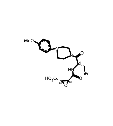 COc1ccc(N2CCN(C(=O)[C@H](CC(C)C)NC(=O)[C@H]3O[C@@H]3C(=O)O)CC2)cc1